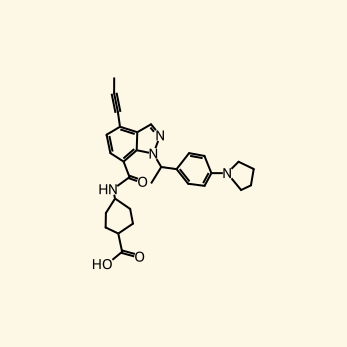 CC#Cc1ccc(C(=O)NC2CCC(C(=O)O)CC2)c2c1cnn2C(C)c1ccc(N2CCCC2)cc1